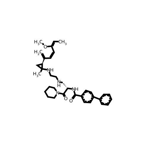 C=C(/C=C\C(=C/C)OC)[C@@H]1CC1(C)NCCNC[C@H](NC(=O)c1ccc(-c2ccccc2)cc1)C(=O)N1CCCCC1